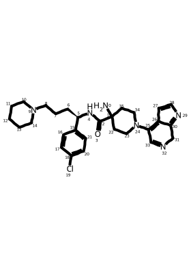 NC1(C(=O)N[C@H](CCCN2CCCCC2)c2ccc(Cl)cc2)CCN(C2=C3C=CN=C3CN=C2)CC1